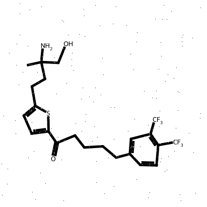 CC(N)(CO)CCc1ccc(C(=O)CCCCc2ccc(C(F)(F)F)c(C(F)(F)F)c2)s1